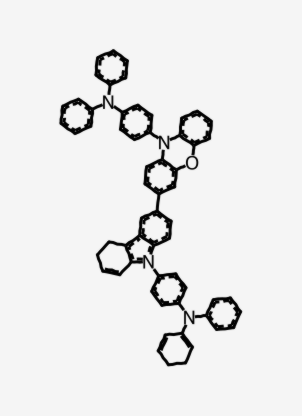 C1=CC(N(c2ccccc2)c2ccc(-n3c4c(c5cc(-c6ccc7c(c6)Oc6ccccc6N7c6ccc(N(c7ccccc7)c7ccccc7)cc6)ccc53)CCC=C4)cc2)=CCC1